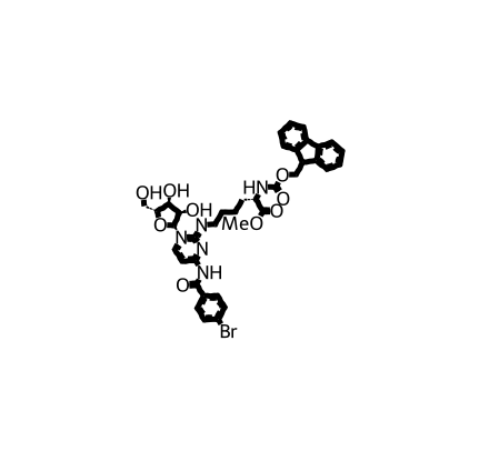 COC(=O)[C@H](CCCC/N=c1\nc(NC(=O)c2ccc(Br)cc2)ccn1[C@@H]1O[C@H](CO)[C@@H](O)[C@H]1O)NC(=O)OCC1c2ccccc2-c2ccccc21